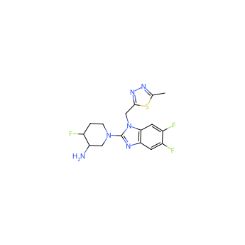 Cc1nnc(Cn2c(N3CCC(F)C(N)C3)nc3cc(F)c(F)cc32)s1